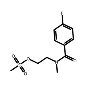 CN(CCOS(C)(=O)=O)C(=O)c1ccc(F)cc1